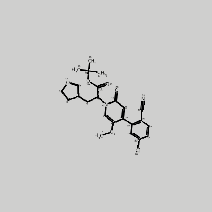 COc1cn(C(CC2CCOC2)C(=O)OC(C)(C)C)c(=O)cc1-c1cc(Cl)ccc1C#N